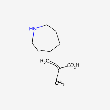 C1CCCNCC1.C=C(C)C(=O)O